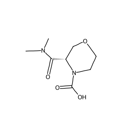 CN(C)C(=O)[C@@H]1COCCN1C(=O)O